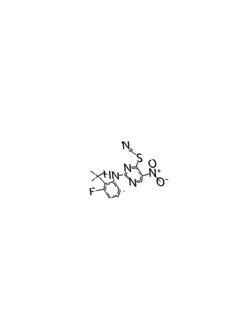 CC(C)(C)c1c(Nc2ncc([N+](=O)[O-])c(SC#N)n2)[c]ccc1F